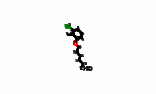 Cc1c(Br)cccc1OCCCCCC=O